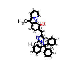 Cc1c2c(n3ccccc13)C(=O)C(=Cc1cn(C(c3ccccc3)(c3ccccc3)c3ccccc3)c(C)n1)CC2